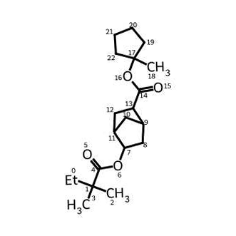 CCC(C)(C)C(=O)OC1CC2CC1CC2C(=O)OC1(C)CCCC1